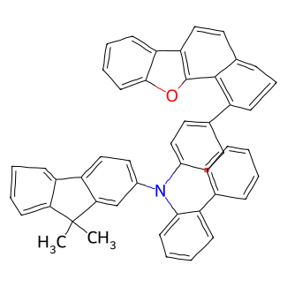 CC1(C)c2ccccc2-c2ccc(N(c3ccc(-c4cccc5ccc6c7ccccc7oc6c45)cc3)c3ccccc3-c3ccccc3)cc21